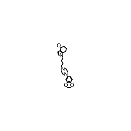 O=C1CCCc2c1ccn2CCCCN1CCN(c2ccc3c(c2)OCCO3)CC1